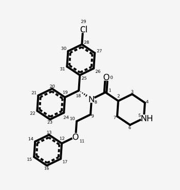 O=C(C1CCNCC1)N(CCOc1ccccc1)[C@H](c1ccccc1)c1ccc(Cl)cc1